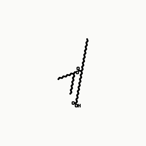 CCCCCCCCCCCCCCCCC(CCCCCCCCCCCCCCCC(=O)O)C(=O)OCC(CCCCCCCC)CCCCCCCCCC